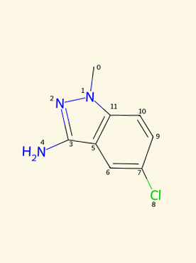 Cn1nc(N)c2cc(Cl)ccc21